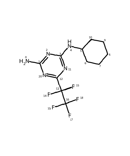 Nc1nc(NC2CCCCC2)nc(C(F)(F)C(F)(F)F)n1